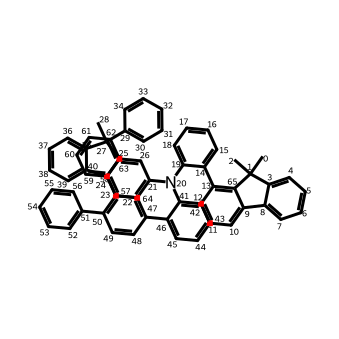 CC1(C)c2ccccc2-c2cccc(-c3ccccc3N(c3ccc4c(c3)C(C)(c3ccccc3)c3ccccc3-4)c3ccccc3-c3ccc(-c4ccccc4)c(-c4ccccc4)c3)c21